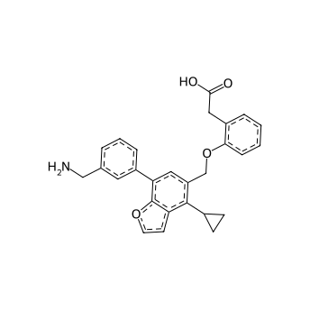 NCc1cccc(-c2cc(COc3ccccc3CC(=O)O)c(C3CC3)c3ccoc23)c1